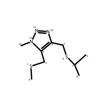 CSCc1c(CSC(C)C)nnn1C